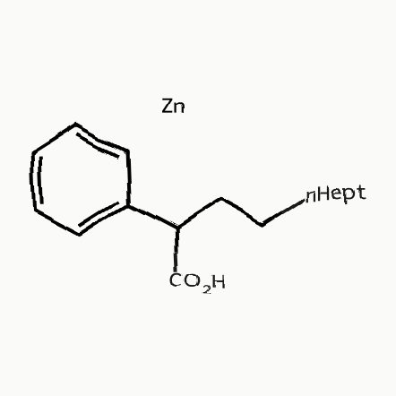 CCCCCCCCCC(C(=O)O)c1ccccc1.[Zn]